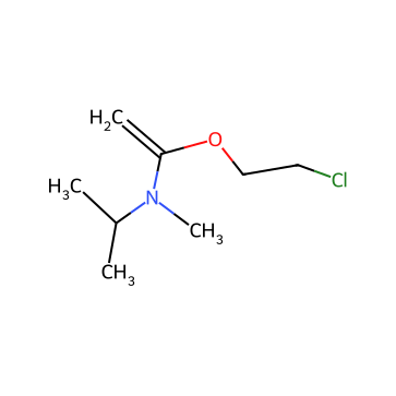 C=C(OCCCl)N(C)C(C)C